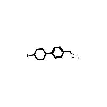 CCc1ccc(C2CCC(F)CC2)cc1